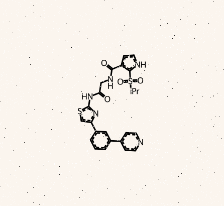 CC(C)S(=O)(=O)c1[nH]ccc1C(=O)NCC(=O)Nc1nc(-c2cccc(-c3ccncc3)c2)cs1